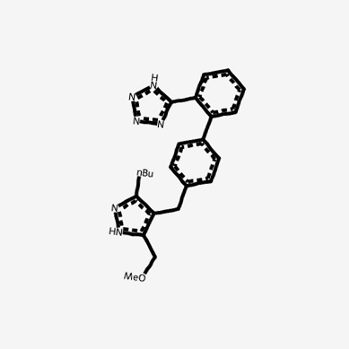 CCCCc1n[nH]c(COC)c1Cc1ccc(-c2ccccc2-c2nnn[nH]2)cc1